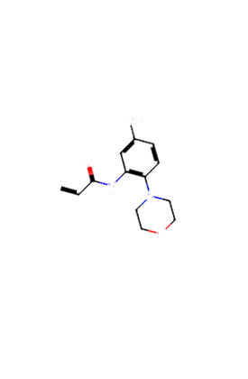 C=CC(=O)Nc1cc(C(C)(C)C)ccc1N1CCOCC1